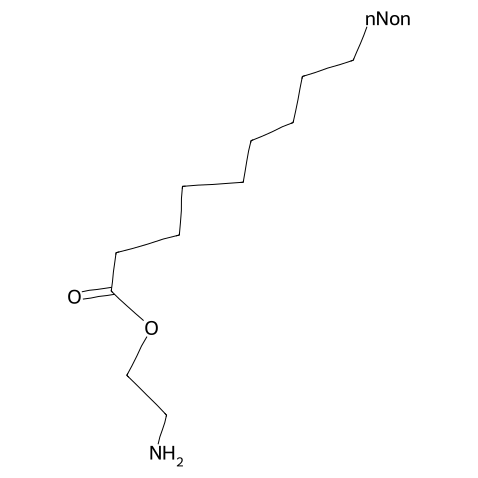 CCCCCCCCCCCCCCCCCC(=O)OCCN